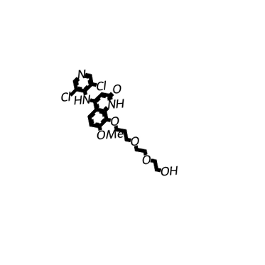 COc1ccc2c(Nc3c(Cl)cncc3Cl)cc(=O)[nH]c2c1OCCCOCCOCCO